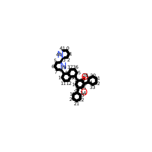 c1ccc(-c2cccc(-c3cccc4c(-c5cc6c7ccccc7oc6c6c5oc5ccccc56)cccc34)n2)nc1